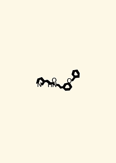 O=C(C=Cc1cccnc1)NCCc1cccc(OCc2ccccc2)c1